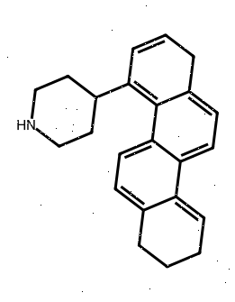 C1=CC(C2CCNCC2)=c2c(ccc3c4c(ccc23)CCCC=4)C1